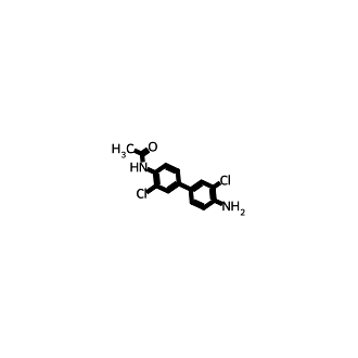 CC(=O)Nc1ccc(-c2ccc(N)c(Cl)c2)cc1Cl